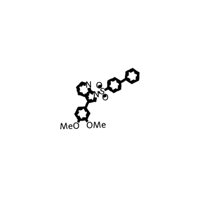 COc1ccc(-c2cn(S(=O)(=O)c3ccc(-c4ccccc4)cc3)c3ncccc23)cc1OC